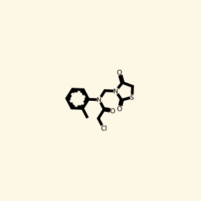 Cc1ccccc1N(CN1C(=O)CSC1=O)C(=O)CCl